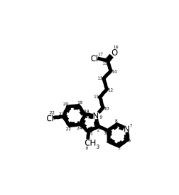 Cc1c(-c2cccnc2)n(CCCCCC(=O)Cl)c2ccc(Cl)cc12